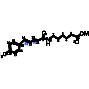 COC(=O)CCCCCNC(=O)/C=C/C=C/c1ccc(C)cc1